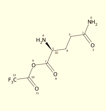 NC(=O)CC[C@H](N)C(=O)OC(=O)C(F)(F)F